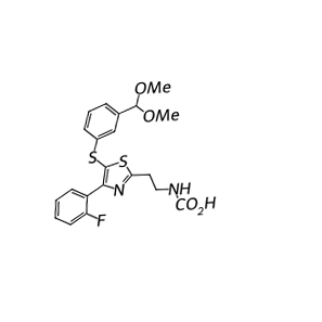 COC(OC)c1cccc(Sc2sc(CCNC(=O)O)nc2-c2ccccc2F)c1